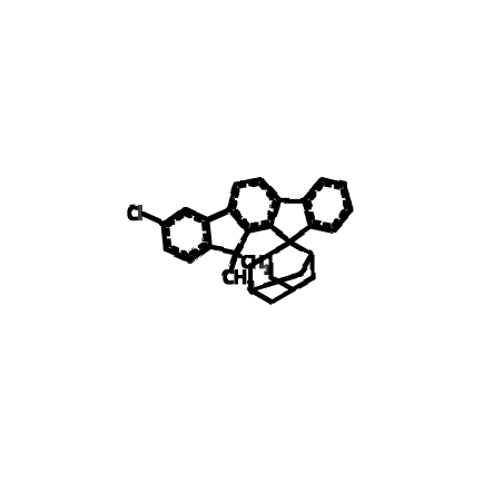 CC1(C)c2ccc(Cl)cc2-c2ccc3c(c21)C1(c2ccccc2-3)C2CC3CC(C2)CC1C3